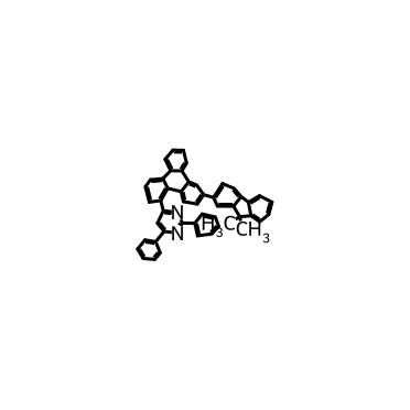 CC1(C)c2ccccc2-c2ccc(-c3ccc4c(c3)c3ccccc3c3cccc(-c5cc(-c6ccccc6)nc(-c6ccccc6)n5)c34)cc21